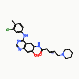 Cc1ccc(Nc2ncnc3c2CC(NC(=O)C/C=C/CN2CCCCC2)C(O)=C3)cc1Cl